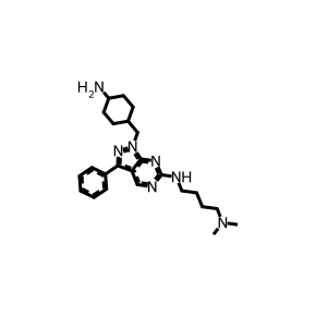 CN(C)CCCCNc1ncc2c(-c3ccccc3)nn(CC3CCC(N)CC3)c2n1